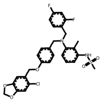 Cc1c(NS(C)(=O)=O)cccc1N(Cc1ccc(OCc2cc3c(cc2Cl)OCO3)cc1)Cc1ccc(F)cc1F